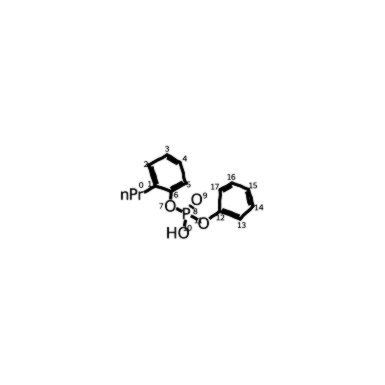 CCCc1ccccc1OP(=O)(O)Oc1ccccc1